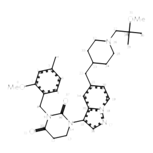 COc1cc(C)ccc1CN1C(=O)CCN(c2cnn3ccc(CC4CCN(CC(C)(C)OC)CC4)cc23)C1=O